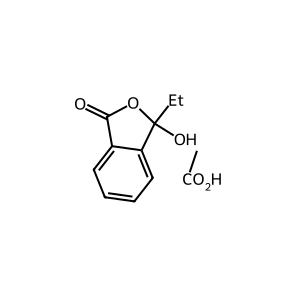 CC(=O)O.CCC1(O)OC(=O)c2ccccc21